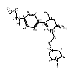 CC1CC(=O)N(CCN2CCNCC2)N=C1c1ccc(NC=O)cc1